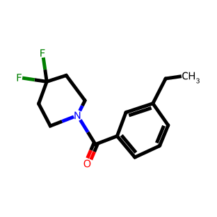 CCc1cccc(C(=O)N2CCC(F)(F)CC2)c1